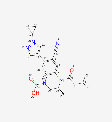 CC(C)CC(=O)N1c2cc(C#N)c(-c3cnn(C4CC4)c3)cc2N(C(=O)O)C[C@@H]1C